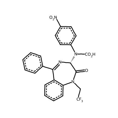 O=C1[C@@H](N(C(=O)O)c2ccc([N+](=O)[O-])cc2)N=C(c2ccccc2)c2ccccc2N1CC(F)(F)F